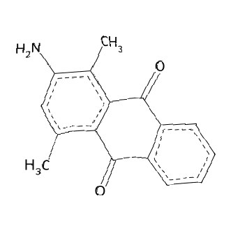 Cc1cc(N)c(C)c2c1C(=O)c1ccccc1C2=O